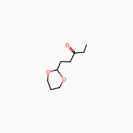 CCC(=O)CCC1OCCCO1